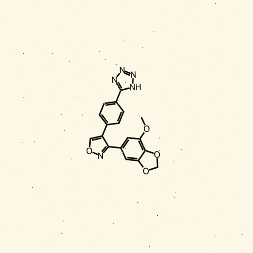 COc1cc(-c2nocc2-c2ccc(-c3nnn[nH]3)cc2)cc2c1OCO2